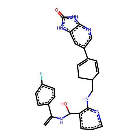 C=C(NC(O)c1cccnc1NCC1C=CC(c2cnc3[nH]c(=O)[nH]c3c2)=CC1)c1ccc(F)cc1